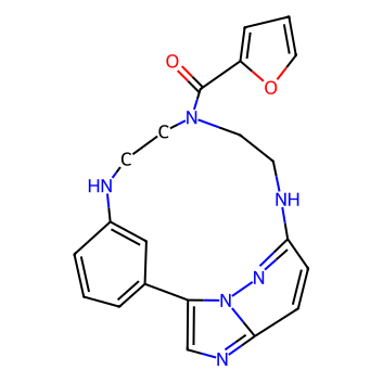 O=C(c1ccco1)N1CCNc2cccc(c2)-c2cnc3ccc(nn23)NCC1